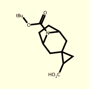 CC(C)(C)OC(=O)N1C2CCC1CC1(C2)CC1C(=O)O